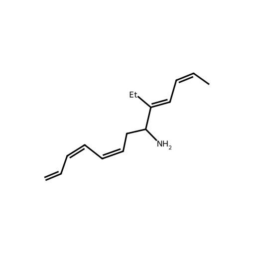 C=C/C=C\C=C/CC(N)/C(=C/C=C\C)CC